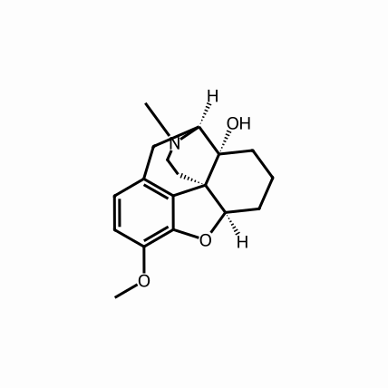 COc1ccc2c3c1O[C@@H]1CCC[C@]4(O)[C@H](C2)N(C)CC[C@@]314